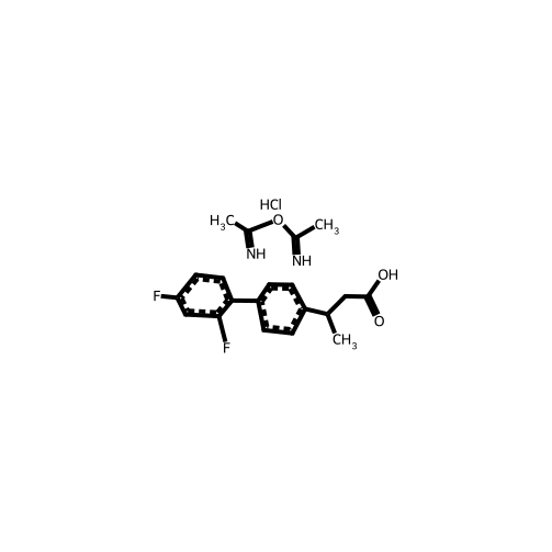 CC(=N)OC(C)=N.CC(CC(=O)O)c1ccc(-c2ccc(F)cc2F)cc1.Cl